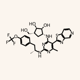 Cc1nc(N[C@H](C)Cc2ccc(OC(F)(F)F)cc2)nc(N[C@@H]2C[C@H](CO)[C@@H](O)[C@H]2O)c1-c1nc2cnccc2s1